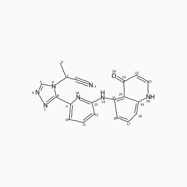 CC(C#N)n1cnnc1-c1cccc(Nc2cccc3[nH]ccc(=O)c23)n1